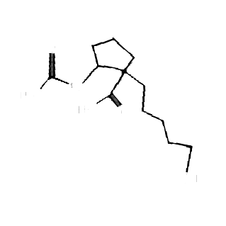 CCCCCCC1(C(=O)O)CCCC1OC(C)=O